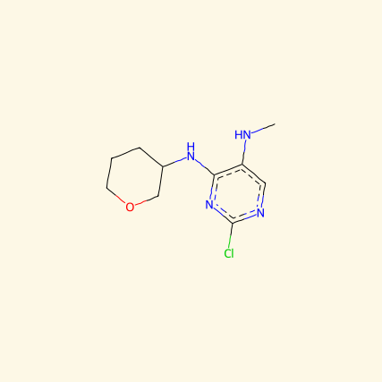 CNc1cnc(Cl)nc1NC1CCCOC1